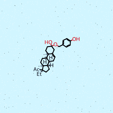 CC[C@]1(C(C)=O)CC[C@H]2[C@@H]3CC=C4CC(O)(OCc5ccc(O)cc5)CC[C@]4(C)[C@H]3CC[C@@]21C